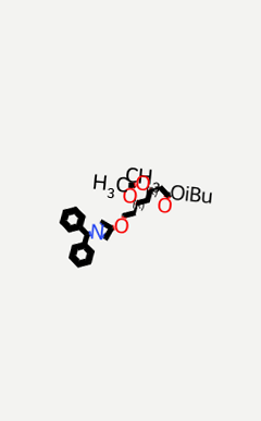 CC(C)COC(=O)C[C@H]1C[C@@H](CCOC2CN(C(c3ccccc3)c3ccccc3)C2)OC(C)(C)O1